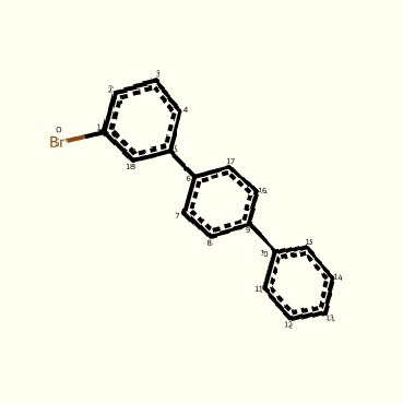 Brc1cccc(-c2ccc(-c3ccccc3)cc2)c1